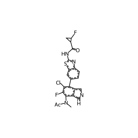 CC(=O)N(C)c1c(F)c(Cl)c(-c2ccc3nc(NC(=O)C4CC4F)sc3c2)c2cn[nH]c12